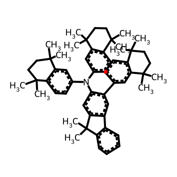 CC1(C)CCC(C)(C)c2cc(-c3cc4c(cc3N(c3ccc5c(c3)C(C)(C)CCC5(C)C)c3ccc5c(c3)C(C)(C)CCC5(C)C)C(C)(C)c3ccccc3-4)ccc21